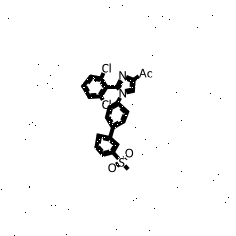 CC(=O)c1cn(-c2ccc(-c3cccc(S(C)(=O)=O)c3)cc2)c(-c2c(Cl)cccc2Cl)n1